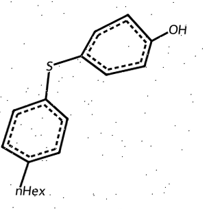 CCCCCCc1ccc(Sc2ccc(O)cc2)cc1